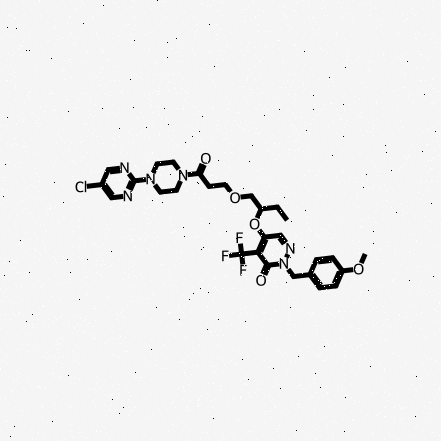 CCC(COCCC(=O)N1CCN(c2ncc(Cl)cn2)CC1)Oc1cnn(Cc2ccc(OC)cc2)c(=O)c1C(F)(F)F